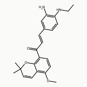 CCNc1ccc(/C=C/C(=O)c2ccc(OC)c3c2OC(C)(C)C=C3)cc1N